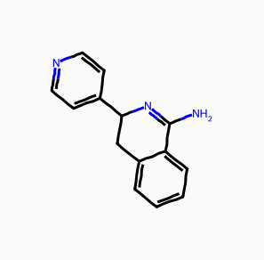 NC1=NC(c2ccncc2)Cc2ccccc21